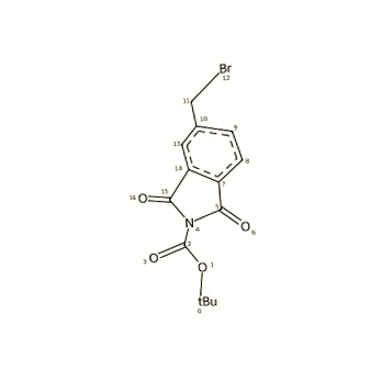 CC(C)(C)OC(=O)N1C(=O)c2ccc(CBr)cc2C1=O